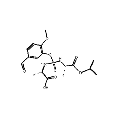 COc1ccc(C=O)cc1OP(=O)(N[C@@H](C)C(=O)O)N[C@@H](C)C(=O)OC(C)C